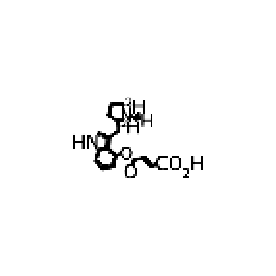 [2H]C([2H])([2H])N1CCCC1Cc1c[nH]c2cccc(OC(=O)C=CC(=O)O)c12